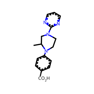 CC1CN(c2ncccn2)CCN1c1ccc(C(=O)O)cc1